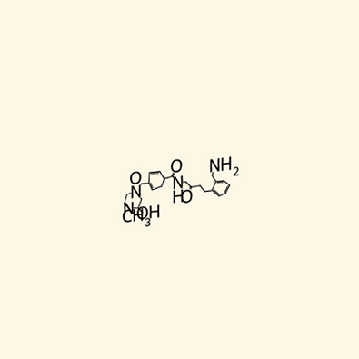 CN1CCN(C(=O)C2=CCC(C(=O)NCC(=O)CCc3ccccc3CN)C=C2)CC1O